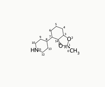 C[C@@H]1OC2CCCC(C3CCNCC3)C2O1